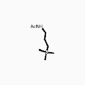 [CH2]C(=O)NCCC[N+](C)(C)C